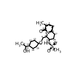 Cc1ccc2n(c1=O)C(COC1CCC(C(C)O)CC1)C(NS(C)(=O)=O)CC2